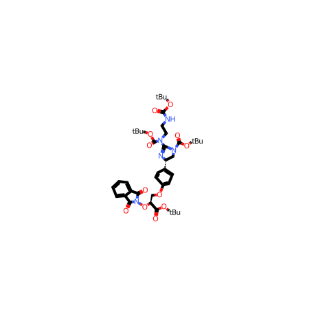 CC(C)(C)OC(=O)NCCN(C(=O)OC(C)(C)C)C1=N[C@@H](c2ccc(OC[C@H](ON3C(=O)c4ccccc4C3=O)C(=O)OC(C)(C)C)cc2)CN1C(=O)OC(C)(C)C